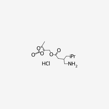 Cc1oc(=O)oc1COC(=O)CC(CN)CC(C)C.Cl